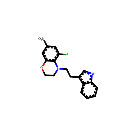 O=[N+]([O-])c1cc(F)c2c(c1)OCCN2CCc1c[nH]c2ccccc12